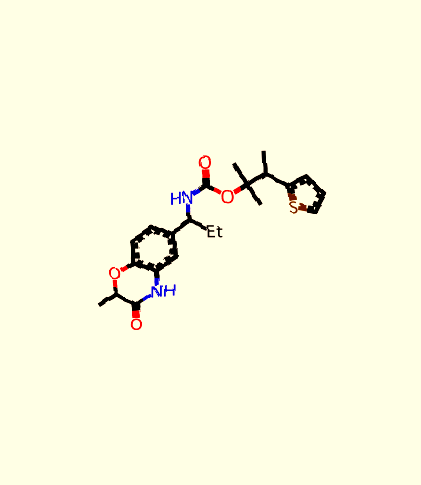 CCC(NC(=O)OC(C)(C)C(C)c1cccs1)c1ccc2c(c1)NC(=O)C(C)O2